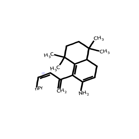 C=C(/C=C\CCC)C1=C2C(CC=C1N)C(C)(C)CCC2(C)C